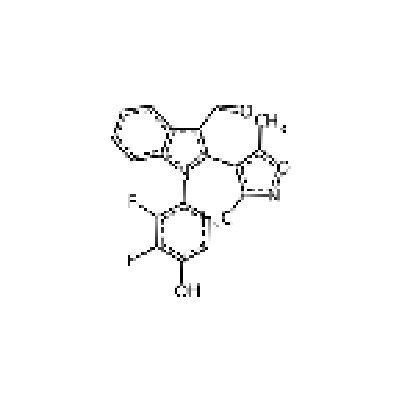 Cc1noc(C)c1-c1c(C=O)c2ccccc2n1-c1ccc(O)c(F)c1F